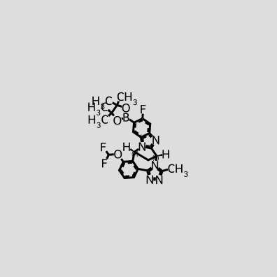 Cc1nnc2n1[C@@H]1C[C@H](c3c(OC(F)F)cccc3-2)n2c1nc1cc(F)c(B3OC(C)(C)C(C)(C)O3)cc12